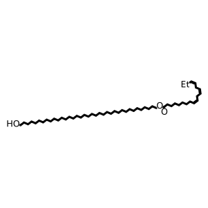 CC/C=C\C/C=C\C/C=C\CCCCCCCC(=O)OCCCCCCCCCCCCCCCCCCCCCCCCCCCCCCCCCCCCCO